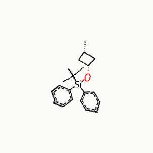 CC(C)(C)[Si](O[C@H]1C[C@@H](C)C1)(c1ccccc1)c1ccccc1